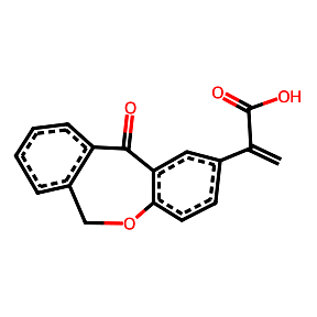 C=C(C(=O)O)c1ccc2c(c1)C(=O)c1ccccc1CO2